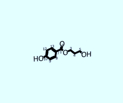 O=C(OCCCO)c1ccc(O)cc1